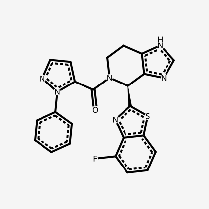 O=C(c1ccnn1-c1ccccc1)N1CCc2[nH]cnc2[C@H]1c1nc2c(F)cccc2s1